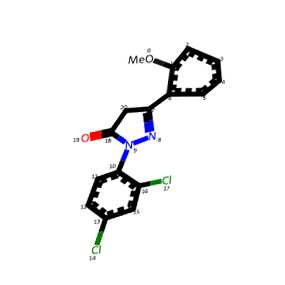 COc1ccccc1C1=NN(c2ccc(Cl)cc2Cl)C(=O)C1